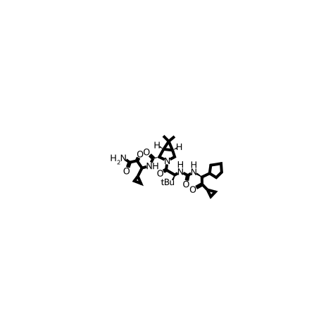 CC(C)(C)[C@H](NC(=O)N[C@H](C(=O)C1CC1)C1CCCC1)C(=O)N1C[C@H]2[C@@H]([C@H]1C(=O)NC(C(=O)C(N)=O)C1CC1)C2(C)C